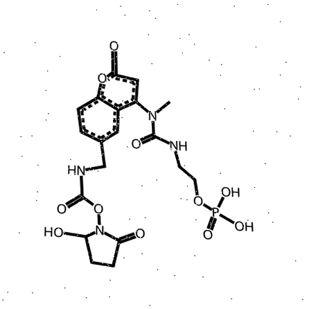 CN(C(=O)NCCOP(=O)(O)O)c1cc(=O)oc2ccc(CNC(=O)ON3C(=O)CCC3O)cc12